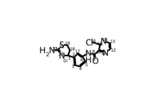 C[C@@]1(c2cccc(NC(=O)c3nccnc3Cl)c2)CCSC(N)=N1